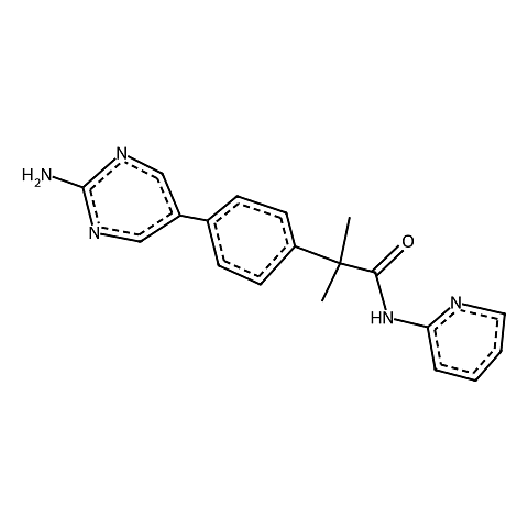 CC(C)(C(=O)Nc1ccccn1)c1ccc(-c2cnc(N)nc2)cc1